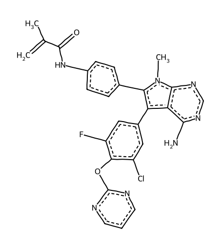 C=C(C)C(=O)Nc1ccc(-c2c(-c3cc(F)c(Oc4ncccn4)c(Cl)c3)c3c(N)ncnc3n2C)cc1